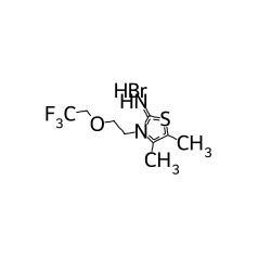 Br.Cc1sc(=N)n(CCOCC(F)(F)F)c1C